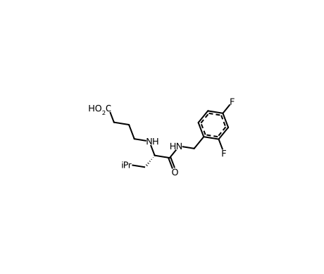 CC(C)C[C@H](NCCCC(=O)O)C(=O)NCc1ccc(F)cc1F